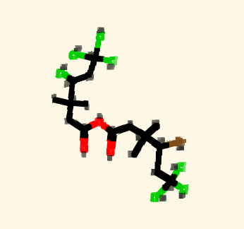 CC(C)(CC(=O)OC(=O)CC(C)(C)C(Br)CC(Cl)(Cl)Cl)C(Cl)CC(Cl)(Cl)Cl